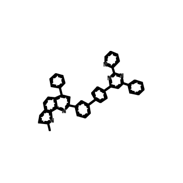 Cc1ccc2ccc3c(-c4ccccc4)cc(-c4cccc(-c5ccc(-c6cc(-c7ccccc7)nc(-c7ccccn7)n6)cc5)c4)nc3c2n1